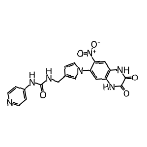 O=C(NCc1ccn(-c2cc3[nH]c(=O)c(=O)[nH]c3cc2[N+](=O)[O-])c1)Nc1ccncc1